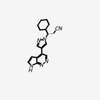 N#CC[C@@H](C1CCCCC1)n1cc(-c2cnnc3[nH]ccc23)cn1